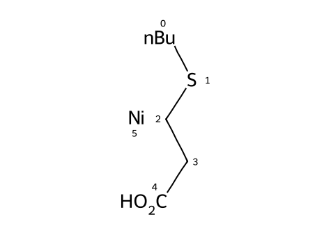 CCCCSCCC(=O)O.[Ni]